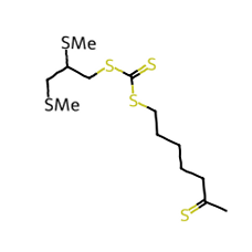 CSCC(CSC(=S)SCCCCCC(C)=S)SC